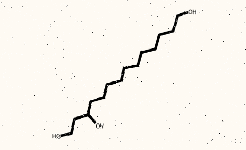 OCCCCCCCCCCCC(O)CCO